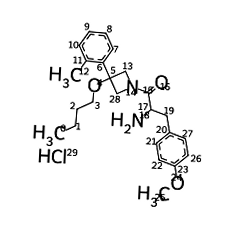 CCCCOC1(c2ccccc2C)CN(C(=O)C(N)Cc2ccc(OC)cc2)C1.Cl